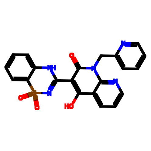 O=c1c(C2=NS(=O)(=O)c3ccccc3N2)c(O)c2cccnc2n1Cc1ccccn1